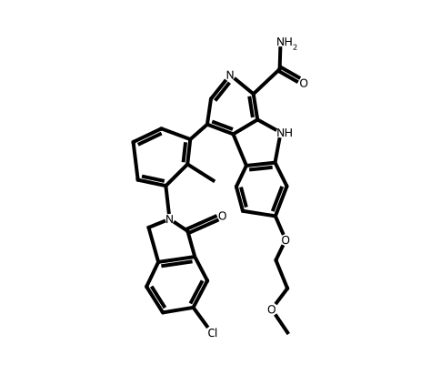 COCCOc1ccc2c(c1)[nH]c1c(C(N)=O)ncc(-c3cccc(N4Cc5ccc(Cl)cc5C4=O)c3C)c12